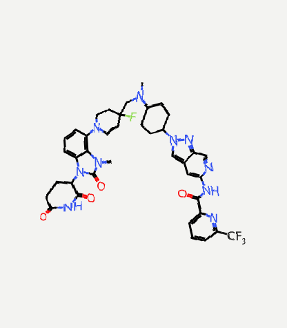 CN(CC1(F)CCN(c2cccc3c2n(C)c(=O)n3C2CCC(=O)NC2=O)CC1)C1CCC(n2cc3cc(NC(=O)c4cccc(C(F)(F)F)n4)ncc3n2)CC1